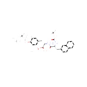 COC(=O)[C@H](Cc1ccc(O[Si](C)(C)C(C)(C)C)cc1)NC(=O)[C@H](Cc1ccc2ccccc2c1)NC(=O)OC(C)(C)C